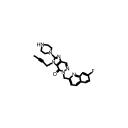 CC#CCn1c(N2CCNCC2)nc2cnn(Cc3ccc4ccc(F)cc4n3)c(=O)c21